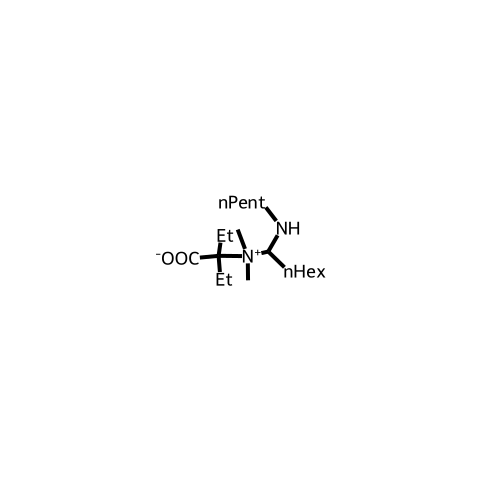 CCCCCCC(NCCCCC)[N+](C)(C)C(CC)(CC)C(=O)[O-]